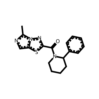 Cc1ncc2sc(C(=O)N3CCCCC3c3ccccc3)nn12